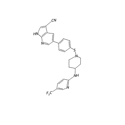 N#Cc1c[nH]c2ncc(-c3ccc(SN4CCC(Nc5ccc(C(F)(F)F)cn5)CC4)cc3)cc12